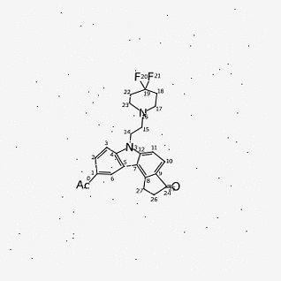 CC(=O)c1ccc2c(c1)c1c3c(ccc1n2CCN1CCC(F)(F)CC1)C(=O)CC3